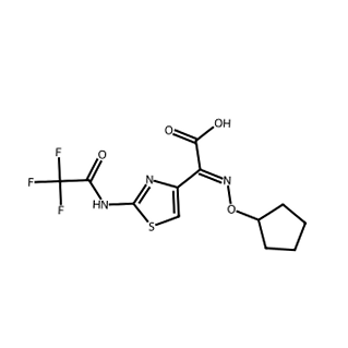 O=C(O)/C(=N/OC1CCCC1)c1csc(NC(=O)C(F)(F)F)n1